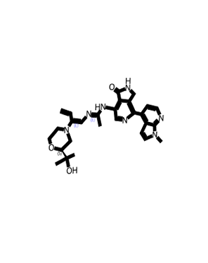 C=C/C(=C\N=C(/C)Nc1cnc(-c2ccnc3c2ccn3C)c2c1C(=O)NC2)N1CCO[C@H](C(C)(C)O)C1